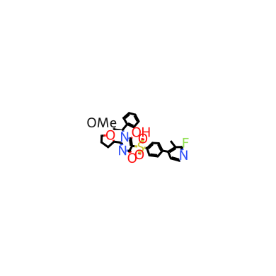 COC[C@@H](c1ccccc1)n1c(C2CCCO2)nc(=O)c(S(=O)(=O)c2ccc(-c3ccnc(F)c3C)cc2)c1O